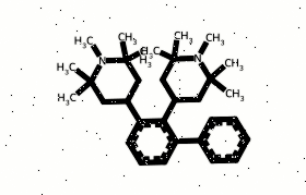 CN1C(C)(C)CC(c2cccc(-c3ccccc3)c2C2CC(C)(C)N(C)C(C)(C)C2)CC1(C)C